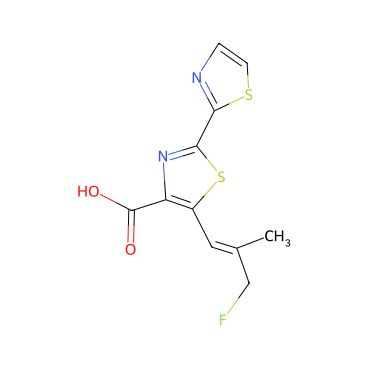 C/C(=C\c1sc(-c2nccs2)nc1C(=O)O)CF